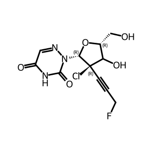 O=c1cnn([C@@H]2O[C@H](CO)C(O)[C@]2(Cl)C#CCF)c(=O)[nH]1